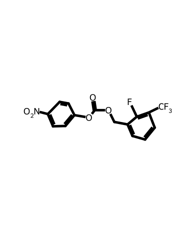 O=C(OCc1cccc(C(F)(F)F)c1F)Oc1ccc([N+](=O)[O-])cc1